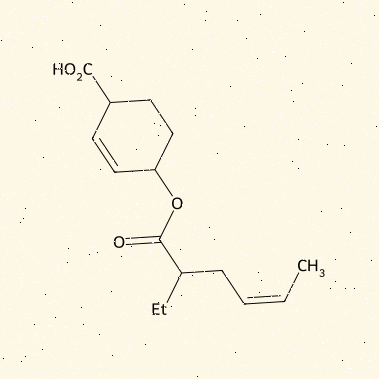 C/C=C\CC(CC)C(=O)OC1C=CC(C(=O)O)CC1